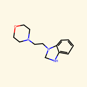 [CH]1Nc2ccccc2N1CCN1CCOCC1